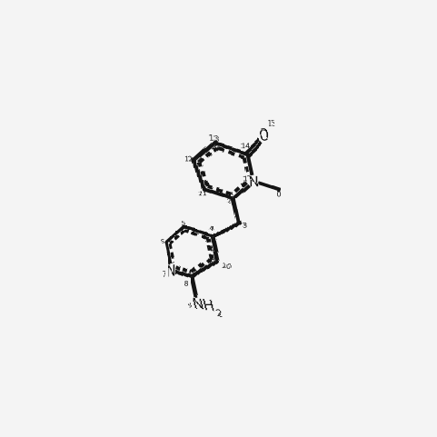 Cn1c(Cc2ccnc(N)c2)cccc1=O